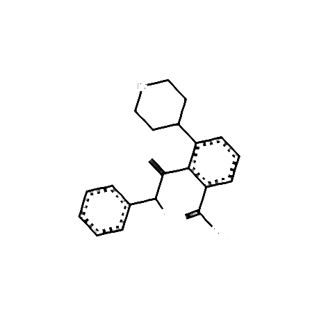 CC(C(=O)c1c(C(N)=O)cccc1C1CCNCC1)c1ccccc1